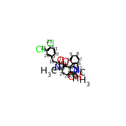 CN1CC[C@]23c4c5cccc4O[C@H]2[C@@H](N(C)C(=O)Cc2ccc(Cl)c(Cl)c2)CC[C@@]3(O)[C@H]1C5